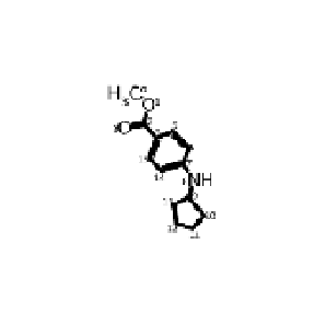 COC(=O)c1ccc(NC2CCCC2)cc1